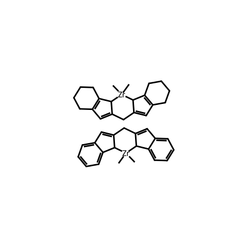 [CH3][Zr]1([CH3])[CH]2C(=CC3=C2CCCC3)CC2=CC3=C(CCCC3)[CH]21.[CH3][Zr]1([CH3])[CH]2C(=Cc3ccccc32)CC2=Cc3ccccc3[CH]21